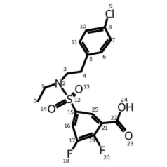 CCN(CCc1ccc(Cl)cc1)S(=O)(=O)c1cc(F)c(F)c(C(=O)O)c1